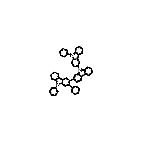 c1ccc(-c2cc3c(cc2-c2ccc4c5ccccc5n(-c5ccc6c(c5)c5ccccc5n6-c5ccccc5)c4c2)c2ccccc2n3-c2ccccc2)cc1